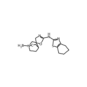 B[N+]12CCC(CC1)C1(CN=C(Nc3nc4c(s3)CCCC4)O1)C2